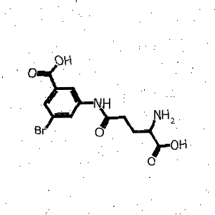 NC(CCC(=O)Nc1cc(Br)cc(C(=O)O)c1)C(=O)O